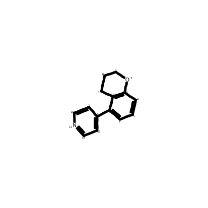 [CH]1COc2cccc(-c3ccncc3)c2C1